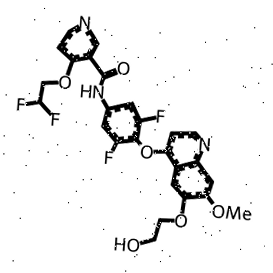 COc1cc2nccc(Oc3c(F)cc(NC(=O)c4cnccc4OCC(F)F)cc3F)c2cc1OCCO